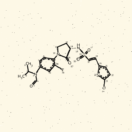 CC(C)N(C=O)c1ccc(N2CC[C@H](NS(=O)(=O)/C=C/c3ccc(Cl)s3)C2=O)c(F)c1